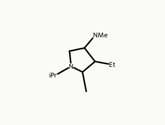 CCC1C(NC)CN(C(C)C)C1C